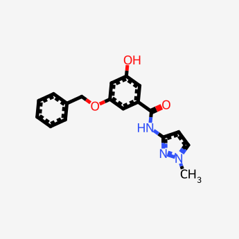 Cn1ccc(NC(=O)c2cc(O)cc(OCc3ccccc3)c2)n1